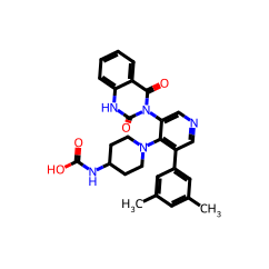 Cc1cc(C)cc(-c2cncc(-n3c(=O)[nH]c4ccccc4c3=O)c2N2CCC(NC(=O)O)CC2)c1